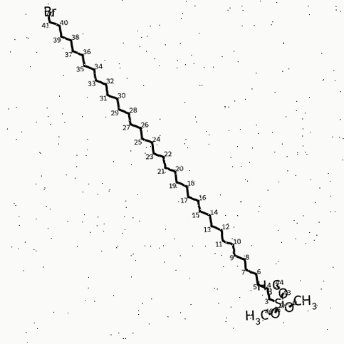 CO[Si](CCCCCCCCCCCCCCCCCCCCCCCCCCCCCCCCCCCCCCCBr)(OC)OC